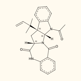 C=CC(C)(C)[C@]12C[C@H]3C(=O)Nc4ccccc4C(=O)N3[C@H]1N(C(C)=O)c1ccccc12